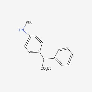 CCCCNc1ccc(C(C(=O)OCC)c2ccccc2)cc1